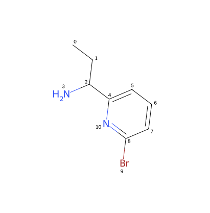 CCC(N)c1cccc(Br)n1